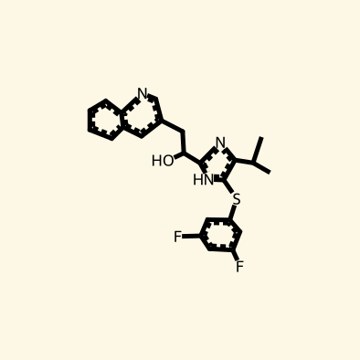 CC(C)c1nc(C(O)Cc2cnc3ccccc3c2)[nH]c1Sc1cc(F)cc(F)c1